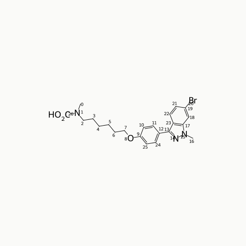 CN(CCCCCCOc1ccc(-c2nn(C)c3cc(Br)ccc23)cc1)C(=O)O